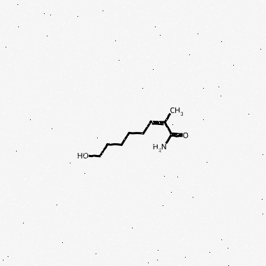 CC(=CCCCCCO)C(N)=O